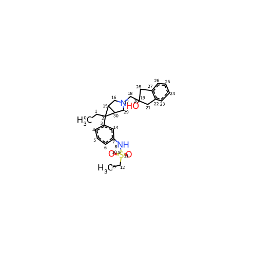 CCC1(c2cccc(NS(=O)(=O)CC)c2)C2CN(CC3(O)Cc4ccccc4C3)CC21